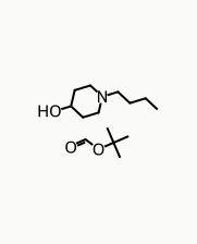 CC(C)(C)OC=O.CCCCN1CCC(O)CC1